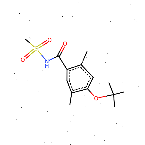 Cc1cc(C(=O)NS(C)(=O)=O)c(C)cc1OC(C)(C)C